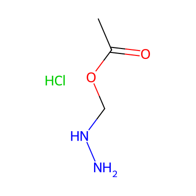 CC(=O)OCNN.Cl